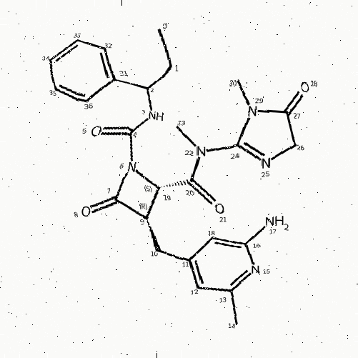 CCC(NC(=O)N1C(=O)[C@H](Cc2cc(C)nc(N)c2)[C@H]1C(=O)N(C)C1=NCC(=O)N1C)c1ccccc1